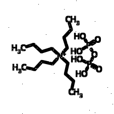 CCCC[N+](CCCC)(CCCC)CCCC.O=P(O)(O)OP(=O)(O)O